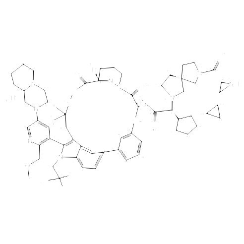 CO[C@@H](C)c1ncc(N2CCN3CCCC[C@@H]3C2)cc1-c1c2c3cc(ccc3n1CC(F)(F)F)-c1cccc(c1)C[C@H](NC(=O)[C@H](C1CCCC1)N1CC[C@]3(CCN(C(=O)[C@@H]4N[C@@H]4C4CC4)C3)C1)C(=O)N1CCC[C@H](N1)C(=O)OCC(C)(C)C2